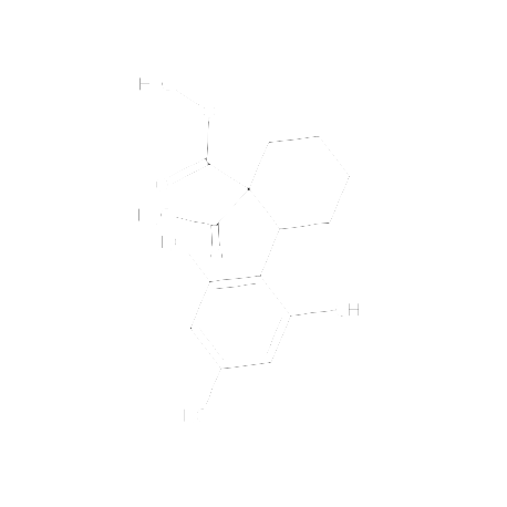 COC(=O)C1(C(C)=O)CCCCC1c1c(C)cc(C)cc1C